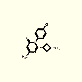 Cc1cc(=O)n(-c2ccc(Cl)cc2)c([C@H]2C[C@@H](C(F)(F)F)C2)n1